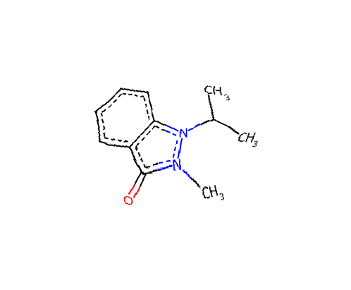 CC(C)n1c2ccccc2c(=O)n1C